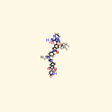 CC(C)Oc1cc2c(cc1-c1nn3cccnc3c1C(N)=O)CN(C1CCC(N(C)C3CN(c4ccc5c(c4)C(=O)N(C4CCC(=O)NC4=O)C5=O)C3)CC1)C2=O